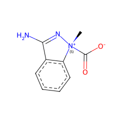 C[N@+]1(C(=O)[O-])N=C(N)c2ccccc21